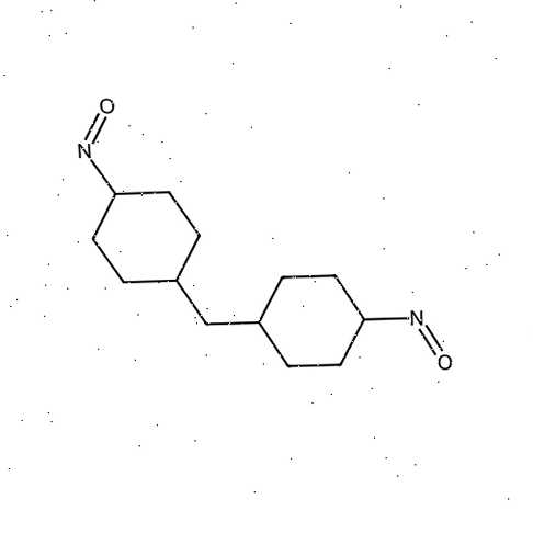 O=NC1CCC(CC2CCC(N=O)CC2)CC1